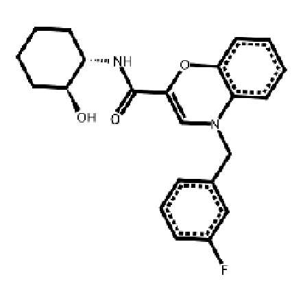 O=C(N[C@H]1CCCC[C@@H]1O)C1=CN(Cc2cccc(F)c2)c2ccccc2O1